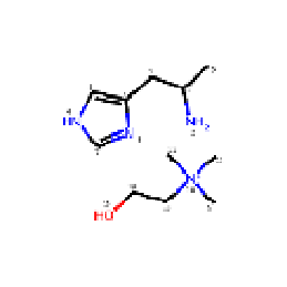 CC(N)Cc1c[nH]cn1.C[N+](C)(C)CCO